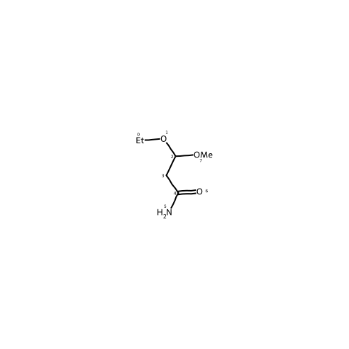 CCOC(CC(N)=O)OC